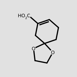 O=C(O)C1=CCCC2(C1)OCCO2